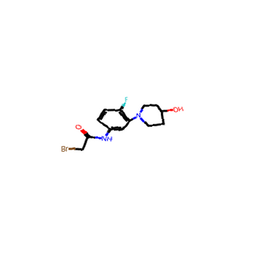 O=C(CBr)Nc1ccc(F)c(N2CCC(O)CC2)c1